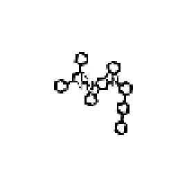 c1ccc(-c2ccc(-c3cccc(-n4c5ccccc5c5cc6c(cc54)c4ccccc4n6-c4nc(-c5ccccc5)cc(-c5ccccc5)n4)c3)cc2)cc1